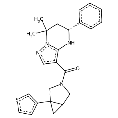 CC1(C)C[C@H](c2ccccc2)Nc2c(C(=O)N3CC4CC4(c4ccsc4)C3)cnn21